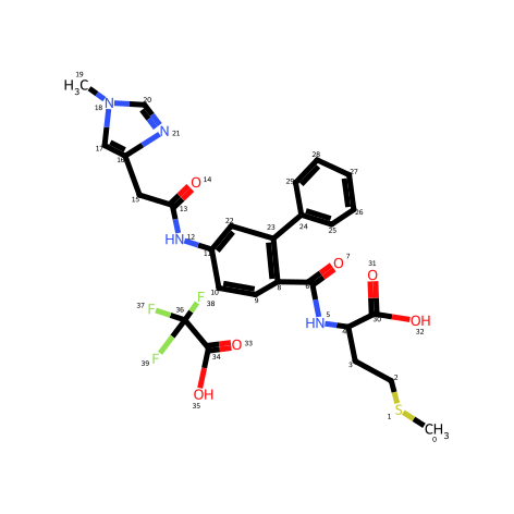 CSCCC(NC(=O)c1ccc(NC(=O)Cc2cn(C)cn2)cc1-c1ccccc1)C(=O)O.O=C(O)C(F)(F)F